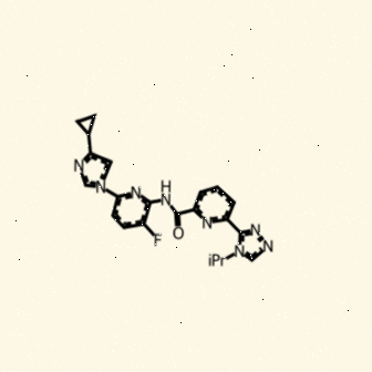 CC(C)n1cnnc1-c1cccc(C(=O)Nc2nc(-n3cnc(C4CC4)c3)ccc2F)n1